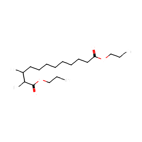 CC(C)CCOC(=O)CCCCCCCCC(C(C)C)C(C(=O)OCCC(C)C)C(C)C